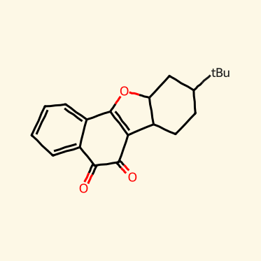 CC(C)(C)C1CCC2C3=C(OC2C1)c1ccccc1C(=O)C3=O